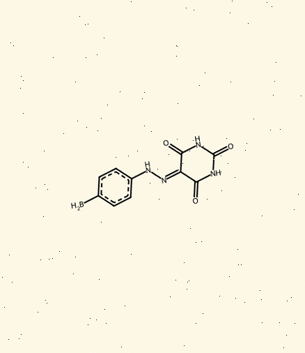 Bc1ccc(NN=C2C(=O)NC(=O)NC2=O)cc1